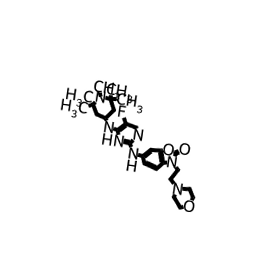 CN1C(C)(C)CC(Nc2nc(Nc3ccc4c(c3)oc(=O)n4CCN3CCOCC3)ncc2F)CC1(C)C